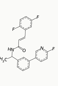 CC(NC(=O)C=Cc1cc(F)ccc1F)c1cccc(-c2ccc(F)nc2)c1